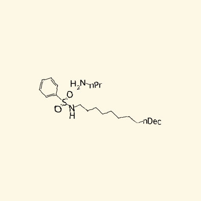 CCCCCCCCCCCCCCCCCCNS(=O)(=O)c1ccccc1.CCCN